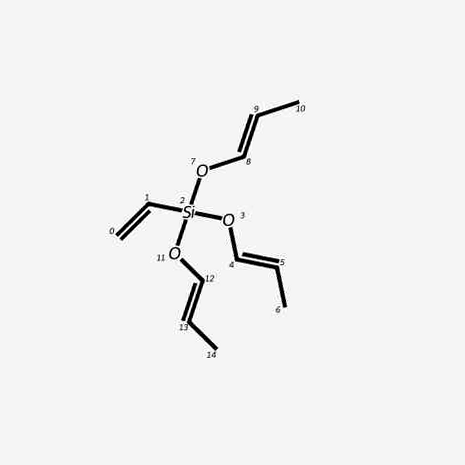 C=C[Si](OC=CC)(OC=CC)OC=CC